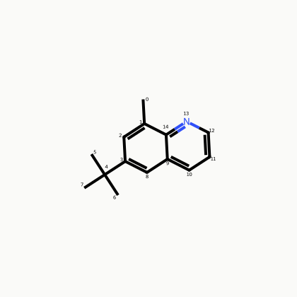 Cc1cc(C(C)(C)C)cc2cccnc12